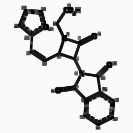 O=C(O)CN1C(=O)C(N2C(=O)c3ccccc3C2=O)C1/C=C\c1ccco1